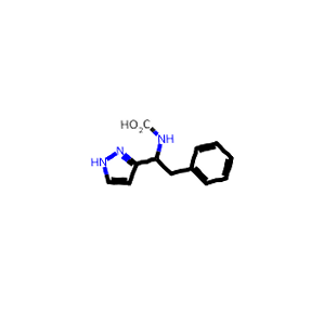 O=C(O)NC(Cc1ccccc1)c1cc[nH]n1